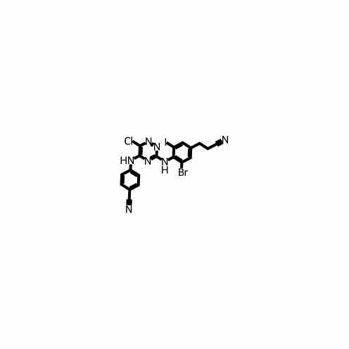 N#CCCc1cc(Br)c(Nc2nnc(Cl)c(Nc3ccc(C#N)cc3)n2)c(I)c1